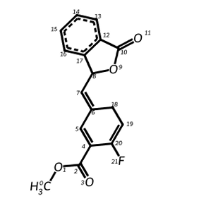 COC(=O)C1=CC(=CC2OC(=O)c3ccccc32)CC=C1F